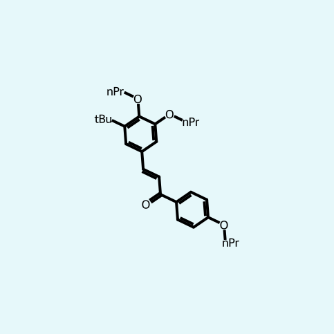 CCCOc1ccc(C(=O)C=Cc2cc(OCCC)c(OCCC)c(C(C)(C)C)c2)cc1